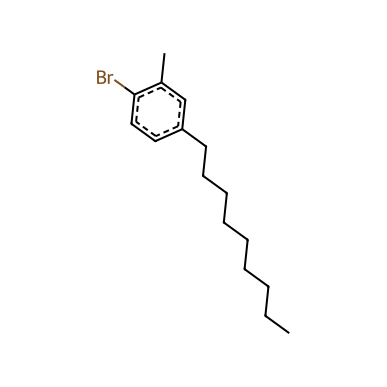 CCCCCCCCCc1ccc(Br)c(C)c1